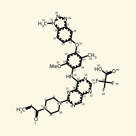 C=CC(=O)N1CCN(c2ncc3ncnc(Nc4cc(C)c(Oc5ccc6c(c5)nnn6C)cc4OC)c3n2)CC1.O=C(O)C(F)(F)F